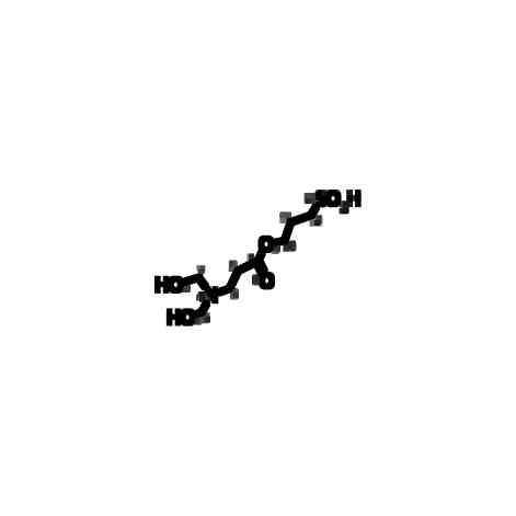 O=C(CCN(CO)CO)OCCCS(=O)(=O)O